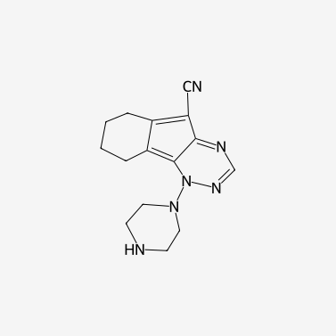 N#Cc1c2ncnn(N3CCNCC3)c-2c2c1CCCC2